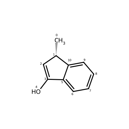 C[C@H]1C=C(O)c2ccccc21